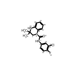 CC1(C)CN(C(=O)Nc2ccc(F)c(Cl)c2)c2ccccc2N1